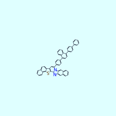 c1ccc(-c2ccc(-c3ccc(-c4ccc(-c5cc6c7ccc8ccccc8c7sc6c6nc7cc8ccccc8cc7n56)cc4)c4ccccc34)cc2)cc1